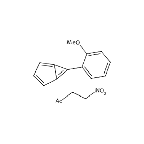 CC(=O)CC[N+](=O)[O-].COc1ccccc1-c1c2cccc1-2